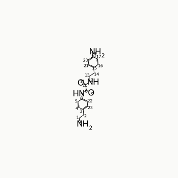 NCCc1ccc(NC(=O)C(=O)NCCc2ccc(N)cc2)cc1